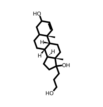 C[C@]12C=CC(O)CC1CC[C@@H]1[C@H]2CC[C@@]2(C)[C@H]1CCC2(O)CCCO